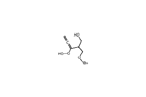 C=C=C(OO)C(CO)COC(C)CC